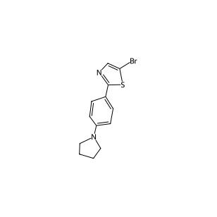 Brc1cnc(-c2ccc(N3CCCC3)cc2)s1